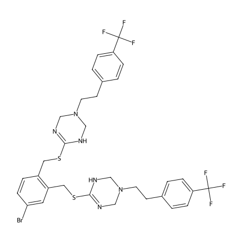 FC(F)(F)c1ccc(CCN2CN=C(SCc3ccc(Br)cc3CSC3=NCN(CCc4ccc(C(F)(F)F)cc4)CN3)NC2)cc1